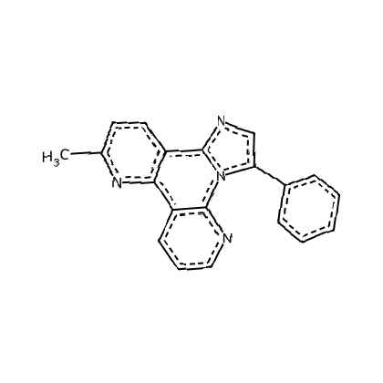 Cc1ccc2c(n1)c1cccnc1n1c(-c3ccccc3)cnc21